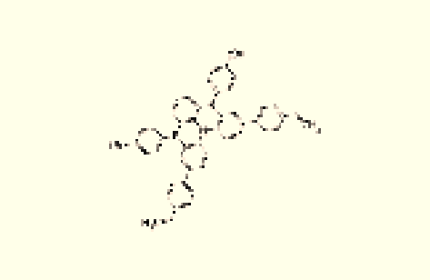 C=Cc1ccc(-c2ccc3c(c2)B(c2ccc(C(C)(C)C)cc2)c2cccc4c2N3c2ccc(-c3ccc(C=C)cc3)cc2B4c2ccc(C(C)(C)C)cc2)cc1